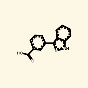 O=C(O)c1cccc(-c2n[nH]c3ccccc23)c1